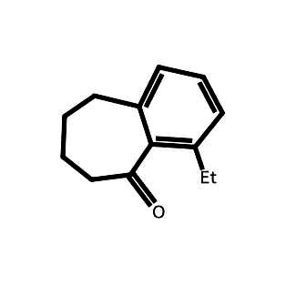 CCc1cccc2c1C(=O)CCCC2